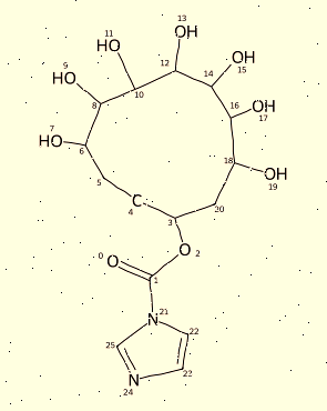 O=C(OC1CCC(O)C(O)C(O)C(O)C(O)C(O)C(O)C1)n1ccnc1